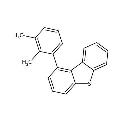 Cc1cccc(-c2cccc3sc4ccccc4c23)c1C